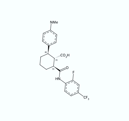 CNc1ccc([C@@H]2CCC[C@H](C(=O)Nc3ccc(C(F)(F)F)cc3F)[C@H]2C(=O)O)cc1